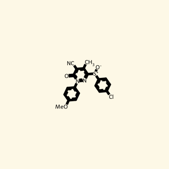 COc1ccc(-n2nc([S+]([O-])c3ccc(Cl)cc3)c(C)c(C#N)c2=O)cc1